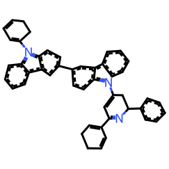 C1=CCCC(n2c3ccccc3c3cc(-c4ccc5c(c4)c4ccccc4n5C4=CC(C5=CCCC=C5)=NC(c5ccccc5)C4)ccc32)=C1